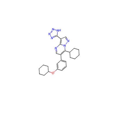 c1cc(OC2CCCCC2)cc(-c2cnc3c(-c4nnn[nH]4)cnn3c2C2CCCCC2)c1